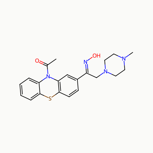 CC(=O)N1c2ccccc2Sc2ccc(C(CN3CCN(C)CC3)=NO)cc21